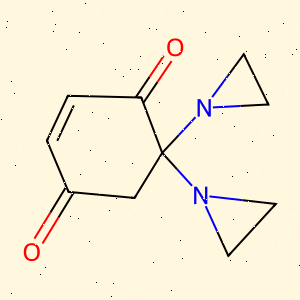 O=C1C=CC(=O)C(N2CC2)(N2CC2)C1